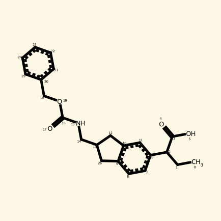 CCC(C(=O)O)c1ccc2c(c1)CC(CNC(=O)OCc1ccccc1)C2